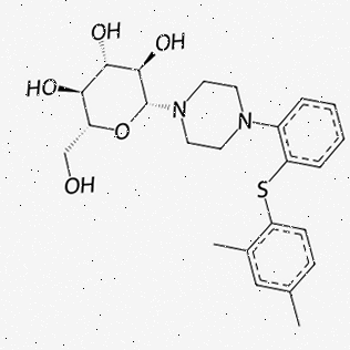 Cc1ccc(Sc2ccccc2N2CCN([C@@H]3O[C@H](CO)[C@@H](O)[C@H](O)[C@H]3O)CC2)c(C)c1